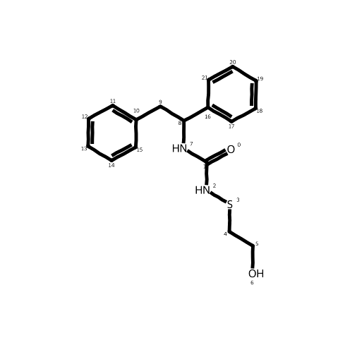 O=C(NSCCO)NC(Cc1ccccc1)c1ccccc1